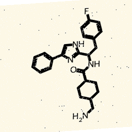 NCC1CCC(C(=O)NC(Cc2ccc(F)cc2)c2nc(-c3ccccc3)c[nH]2)CC1